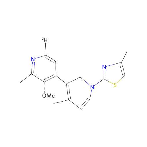 [2H]c1cc(C2=C(C)C=CN(c3nc(C)cs3)C2)c(OC)c(C)n1